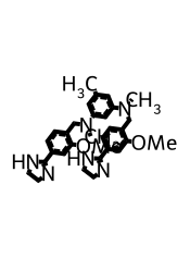 COc1cc(C2=NCCN2)ccc1CN(C)c1cc(C)cc(N(C)Cc2ccc(C3=NCCN3)cc2OC)c1